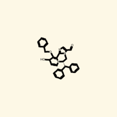 O=Cc1cnc2n1C[C@H](C(c1ccccc1)c1ccccc1)N1C=CC(O)C(OCc3ccccc3)=C21